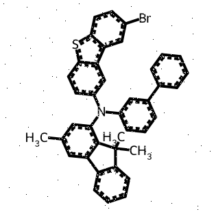 Cc1cc2c(c(N(c3cccc(-c4ccccc4)c3)c3ccc4sc5ccc(Br)cc5c4c3)c1)C(C)(C)c1ccccc1-2